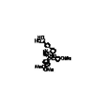 COc1ccc(CN(Cc2ccc(OC)cc2)S(=O)(=O)c2cccc(-c3ccc(C(CO)CO)cc3)c2-c2nnnn2Cc2ccc(OC)cc2)cc1